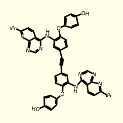 CC(C)c1ccc2c(Nc3cc(C#Cc4ccc(Oc5ccc(O)cc5)c(Nc5ncnc6nc(C(C)C)ccc56)c4)ccc3Oc3ccc(O)cc3)ncnc2n1